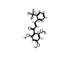 COc1cc(OC)c(C(=O)C=Cc2ccccc2C(F)(F)F)c(OC)c1